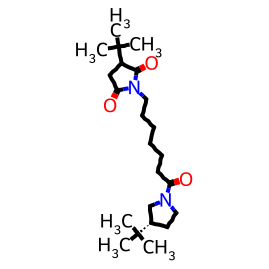 CC(C)(C)C1CC(=O)N(CCCCCCC(=O)N2CC[C@H](C(C)(C)C)C2)C1=O